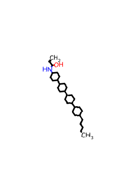 C=CC(O)NC1CCC(C2CCC(C3CCC(C4CCC(CCCCC)CC4)CC3)CC2)CC1